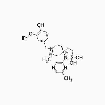 Cc1cncc(N2[C@@]3(CCN(Cc4ccc(O)c(OC(C)C)c4)[C@@H](C)C3)CCS2(O)O)n1